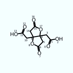 O=C(O)CC12CC(=O)OC1(CC(=O)O)CC(=O)O2